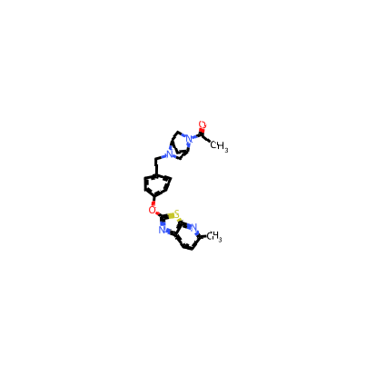 CC(=O)N1CC2CC1CN2Cc1ccc(Oc2nc3ccc(C)nc3s2)cc1